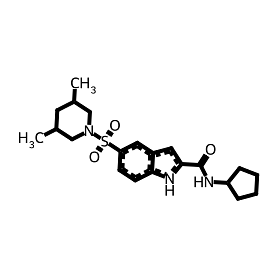 CC1CC(C)CN(S(=O)(=O)c2ccc3[nH]c(C(=O)NC4CCCC4)cc3c2)C1